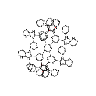 c1ccc(-n2c(-c3cc(-c4cc(-c5cc(-c6nc7cccnc7n6-c6ccccc6)cc(-c6nc7cccnc7n6-c6ccccc6)c5)c(-c5cc(-c6nc7cccnc7n6-c6ccccc6)cc(-c6nc7cccnc7n6-c6ccccc6)c5)cc4-c4cc(-c5nc6cccnc6n5-c5ccccc5)cc(-c5nc6cccnc6n5-c5ccccc5)c4)cc(-c4nc5cccnc5n4-c4ccccc4)c3)nc3cccnc32)cc1